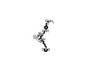 CC(C)[C@H](NC(=O)CCCCCN1C(=O)C=CC1=O)/C(=C/NCC(=O)Nc1ccc(COC(N)=O)cc1)NN